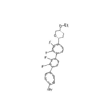 CCCc1ccc(-c2ccc(-c3ccc(C4CCC(OCC)CO4)c(F)c3F)c(F)c2F)cc1